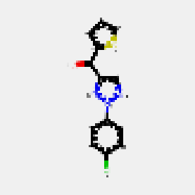 O=C(c1cnn(-c2ccc(Cl)cc2)n1)c1cccs1